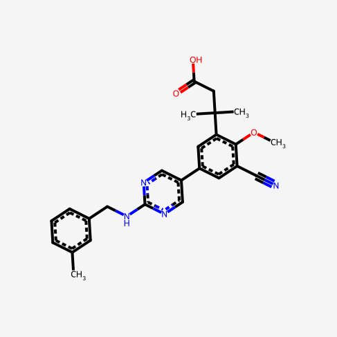 COc1c(C#N)cc(-c2cnc(NCc3cccc(C)c3)nc2)cc1C(C)(C)CC(=O)O